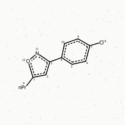 CCCc1cc(-c2ccc(Cl)cc2)no1